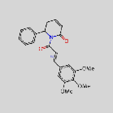 COc1cc(/C=C/C(=O)N2C(=O)C=CCC2c2ccccc2)cc(OC)c1OC